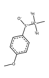 [1H][13C]([1H])(C)[S+]([O-])c1ccc(OC)cc1